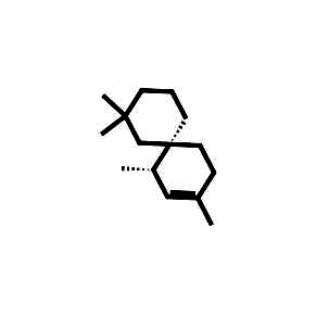 CC1=C[C@H](C)[C@]2(CCCC(C)(C)C2)CC1